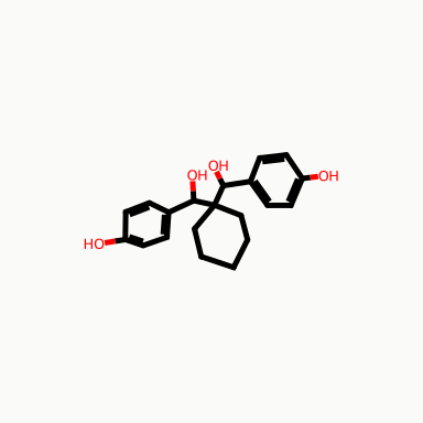 Oc1ccc(C(O)C2(C(O)c3ccc(O)cc3)CCCCC2)cc1